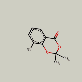 CCc1cccc2c1OC(C)(C)OC2=O